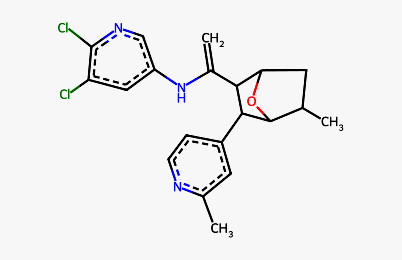 C=C(Nc1cnc(Cl)c(Cl)c1)C1C2CC(C)C(O2)C1c1ccnc(C)c1